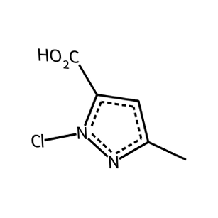 Cc1cc(C(=O)O)n(Cl)n1